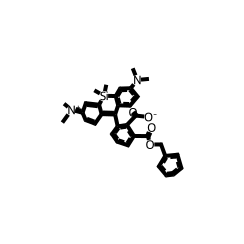 CN(C)c1ccc2c(c1)[Si](C)(C)C1=CC(=[N+](C)C)C=CC1=C2c1cccc(C(=O)OCc2ccccc2)c1C(=O)[O-]